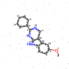 COc1ccc2[nH]c3nc(-c4ccccc4)ncc3c2c1